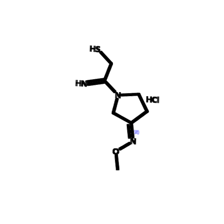 CO/N=C1/CCN(C(=N)CS)C1.Cl